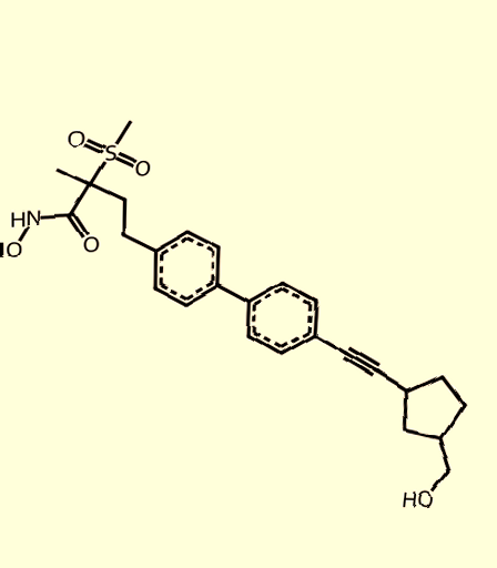 CC(CCc1ccc(-c2ccc(C#CC3CCC(CO)C3)cc2)cc1)(C(=O)NO)S(C)(=O)=O